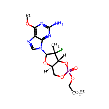 CCOC(=O)COP1(=O)OC[C@H]2O[C@@H](n3cnc4c(OCC)nc(N)nc43)[C@](C)(F)[C@@H]2O1